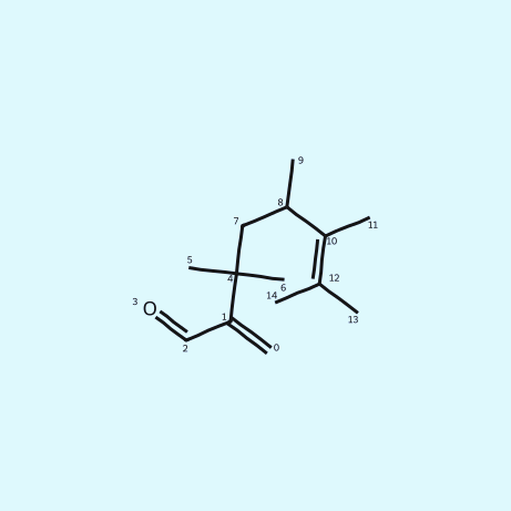 C=C(C=O)C(C)(C)CC(C)C(C)=C(C)C